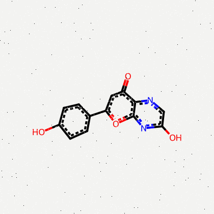 O=c1cc(-c2ccc(O)cc2)oc2nc(O)cnc12